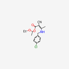 CCOC(C)OC(=O)C(C#N)=C(C)NCc1ccc(Cl)cc1